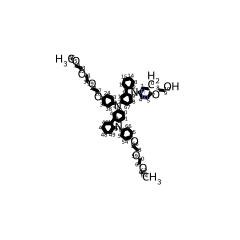 C=C/C=C(\C=C/COCCO)n1c2ccccc2c2cc(N(c3ccc(OCCOCCOCCOC)cc3)c3ccc4c(c3)c3ccccc3n4C3=CC=C(OCCOCCOCC)CC3)ccc21